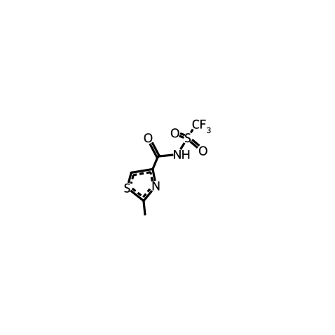 Cc1nc(C(=O)NS(=O)(=O)C(F)(F)F)cs1